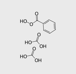 O=C(O)O.O=C(O)O.O=C(OO)c1ccccc1